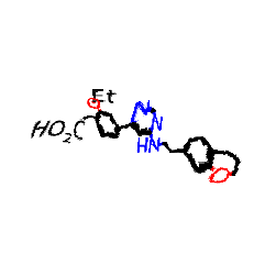 CCOc1cc(-c2cc(NCCc3ccc4c(c3)OCCC4)ncn2)ccc1CC(=O)O